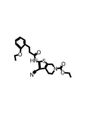 CCOC(=O)N1CCc2c(sc(NC(=O)CCc3ccccc3OCC)c2C#N)C1